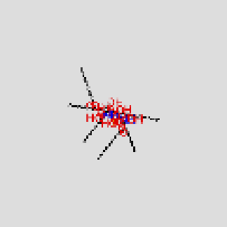 CCCCCCCCCCCCCCCC(=O)O[C@H](CCCCCCCCCCC)CC(=O)N[C@@H]1C(OP(C)(=O)O)OC(CO[C@@H]2OC(CO)CC(OC(=O)C[C@@H](CCCCCCCCCCC)OC(=O)CCCCCCCCCCCCCCC)[C@@H]2NC(=O)C[C@H](O)CCCCCCCCCCC)[C@@H](O)C1OC(=O)C[C@H](O)CCCCCCCCCCC